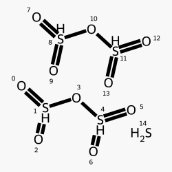 O=[SH](=O)O[SH](=O)=O.O=[SH](=O)O[SH](=O)=O.S